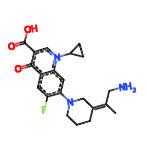 CC(CN)=C1CCCN(c2cc3c(cc2F)c(=O)c(C(=O)O)cn3C2CC2)C1